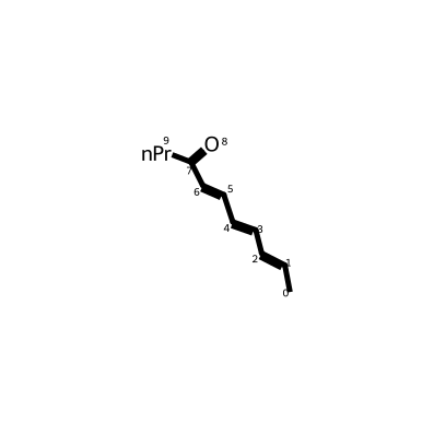 CC=CC=CC=CC(=O)CCC